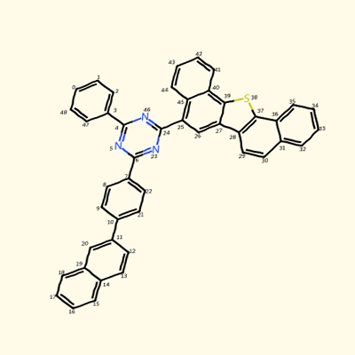 c1ccc(-c2nc(-c3ccc(-c4ccc5ccccc5c4)cc3)nc(-c3cc4c5ccc6ccccc6c5sc4c4ccccc34)n2)cc1